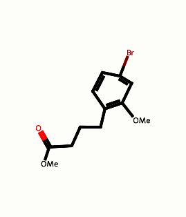 COC(=O)CCCc1ccc(Br)cc1OC